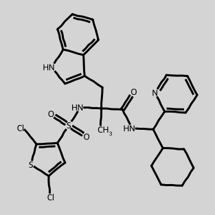 CC(Cc1c[nH]c2ccccc12)(NS(=O)(=O)c1cc(Cl)sc1Cl)C(=O)NC(c1ccccn1)C1CCCCC1